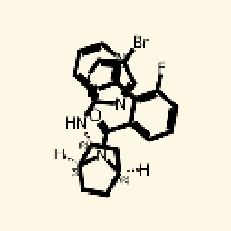 O=C(c1cccc(F)c1-c1ncccn1)N1[C@@H]2CC[C@H]1[C@H](Nc1ncc(Br)cn1)C2